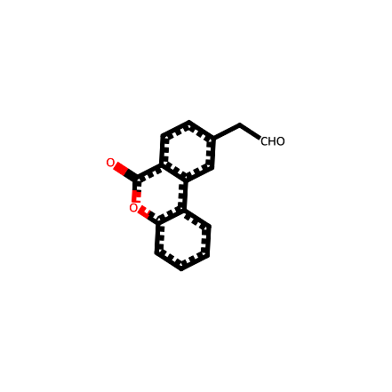 O=CCc1ccc2c(=O)oc3ccccc3c2c1